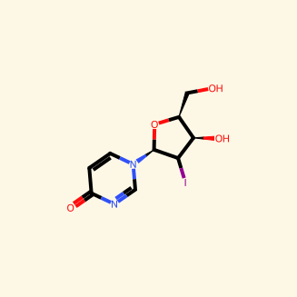 O=c1ccn([C@H]2O[C@@H](CO)[C@@H](O)C2I)cn1